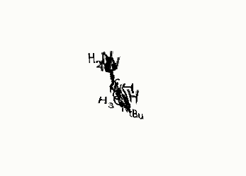 Cn1nc(C(C)(C)C)cc1NC(=O)Nc1ncc(C#Cc2cnc(N)nc2)s1